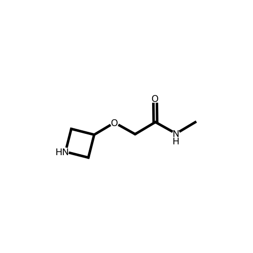 CNC(=O)COC1CNC1